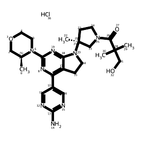 C[C@H]1COCCN1c1nc(-c2cnc(N)nc2)c2c(n1)N([C@@]1(C)CCN(C(=O)C(C)(C)CO)C1)CC2.Cl